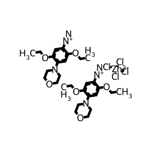 CCOc1cc(N2CCOCC2)c(OCC)cc1[N+]#N.CCOc1cc(N2CCOCC2)c(OCC)cc1[N+]#N.[Cl][Zn-2]([Cl])([Cl])[Cl]